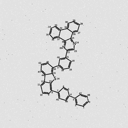 c1ccc(-c2ccc(-c3cccc4c3sc3c(-c5cccc(-c6cnc7c8ccccc8c8ccccc8c7n6)c5)cccc34)cc2)cc1